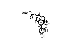 COC(=O)CC[C@@H](C)C1CC[C@H]2[C@H]3[C@H](CC(F)(F)[C@]12C)[C@@]1(C)CC[C@@H](O)C[C@H]1CC3(F)F